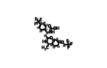 C[C@@H](NC(=O)C[C@@H](NC(=O)O)c1ccc(C(F)(F)F)cc1)c1ccc(OCC(F)(F)F)cn1